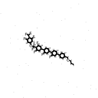 CCCOCc1ccc(-c2ccc(-c3ccc(-c4cc(F)c(C(F)(F)Oc5cc(F)c(C(F)F)c(F)c5)c(F)c4)c(F)c3)c(F)c2)cc1